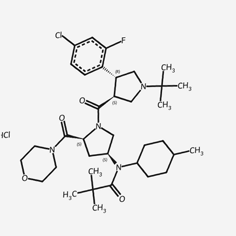 CC1CCC(N(C(=O)C(C)(C)C)[C@H]2C[C@@H](C(=O)N3CCOCC3)N(C(=O)[C@@H]3CN(C(C)(C)C)C[C@H]3c3ccc(Cl)cc3F)C2)CC1.Cl